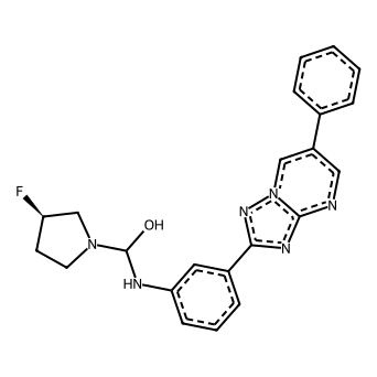 OC(Nc1cccc(-c2nc3ncc(-c4ccccc4)cn3n2)c1)N1CC[C@@H](F)C1